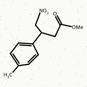 COC(=O)CC(C[N+](=O)[O-])c1ccc(C)cc1